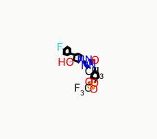 Cc1nc(N2CC=C(c3ccc(F)cc3)[C@@H](O)C2)nc(=O)n1Cc1ccc(OS(=O)(=O)C(F)(F)F)cc1